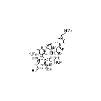 CNCCN1CCN(c2ccc(C(=O)NCC(=O)N[C@H](C(=O)N3C[C@H](O)C[C@H]3C(=O)N[C@@H](C)c3ccc(-c4scnc4C)cc3)C(C)(C)C)cn2)CC1.Cl